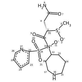 C[S+]([O-])[C@@H](CC(N)=O)C(=O)[N+]([O-])(C1CCCNCC1)S(=O)(=O)c1ccccn1